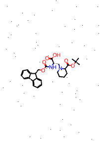 CC(C)(C)OC(=O)C1CCCCN1C[C@H](NC(=O)OCC1c2ccccc2-c2ccccc21)C(=O)O